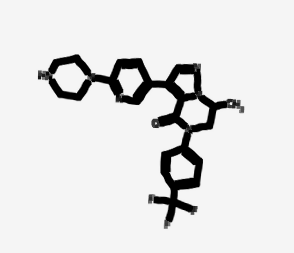 CC1CN(c2ccc(C(F)(F)F)cc2)C(=O)c2c(-c3ccc(N4CCNCC4)nc3)cnn21